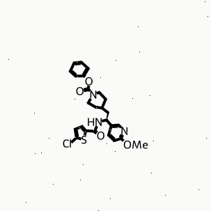 COc1ccc([C@H](CC2CCN(C(=O)Oc3ccccc3)CC2)NC(=O)c2ccc(Cl)s2)cn1